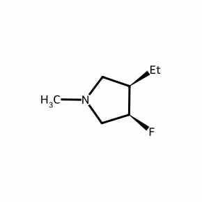 CC[C@@H]1CN(C)C[C@@H]1F